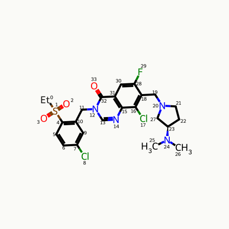 CCS(=O)(=O)c1ccc(Cl)cc1Cn1cnc2c(Cl)c(CN3CC[C@@H](N(C)C)C3)c(F)cc2c1=O